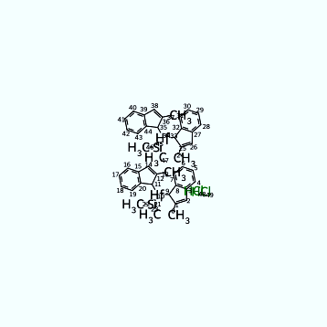 CC1=Cc2ccccc2[CH]1[Hf]([CH]1C(C)=Cc2ccccc21)=[Si](C)C.CC1=Cc2ccccc2[CH]1[Hf]([CH]1C(C)=Cc2ccccc21)=[Si](C)C.Cl.Cl